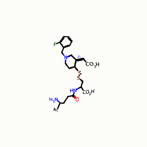 CC(=O)C(N)CCC(=O)NC(CSSC1CCN(Cc2ccccc2F)C/C1=C/C(=O)O)C(=O)O